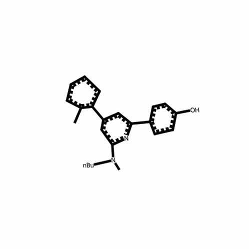 CCCCN(C)c1cc(-c2ccccc2C)cc(-c2ccc(O)cc2)n1